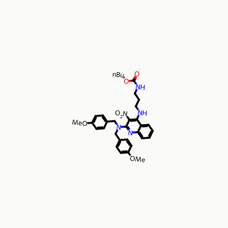 CCCCOC(=O)NCCCNc1c([N+](=O)[O-])c(N(Cc2ccc(OC)cc2)Cc2ccc(OC)cc2)nc2ccccc12